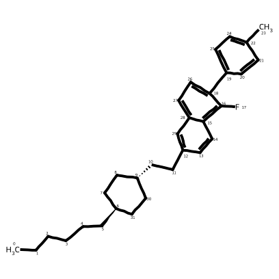 CCCCCC[C@H]1CC[C@H](CCc2ccc3c(F)c(-c4ccc(C)cc4)ccc3c2)CC1